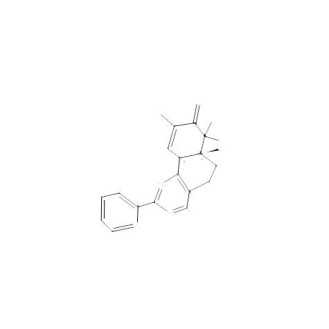 [C-]#[N+]C1=C[C@]2(C)c3nc(-c4ccccn4)ncc3CC[C@H]2C(C)(C)C1=O